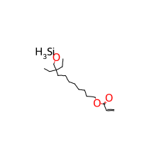 C=CC(=O)OCCCCCCCCC(CC)(CC)CO[SiH3]